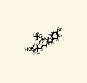 CC(C)(C)OC(=O)N[C@H](CCCC(C)(C)[Si](C)(C)O)Cc1ccc(Br)cc1